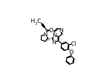 CC#CC(=O)N1CCC[C@H]1c1nc(-c2ccc(Oc3ccccc3)c(Cl)c2)c2cnccn12